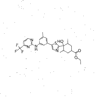 CCOC(=O)C1CC(C)C(O)(c2ncc(-c3cc(C)cc(Nc4nccc(C(F)(F)F)n4)c3)s2)C(C)C1